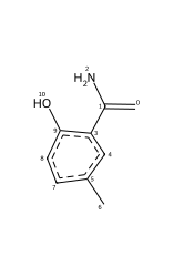 C=C(N)c1cc(C)ccc1O